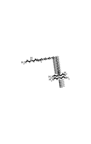 CC(=O)[O-].CC(=O)[O-].CC(=O)[O-].CC(=O)[O-].CC(=O)[O-].CC(=O)[O-].CC(=O)[O-].CC(=O)[O-].CC(=O)[O-].CC(=O)[O-].CC(=O)[O-].CC(=O)[O-].CC(=O)[O-].CC(=O)[O-].CC(=O)[O-].NCCNCCN.NCCNCCN.NCCNCCN.[Eu+3].[Eu+3].[Eu+3].[Eu+3].[Eu+3]